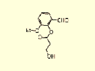 CCOc1cccc(C=O)c1OC(=O)CCO